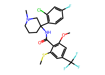 COc1cc(C(F)(F)F)cc(SC)c1C(=O)NC1(c2ccc(F)cc2Cl)CCCN(C)C1